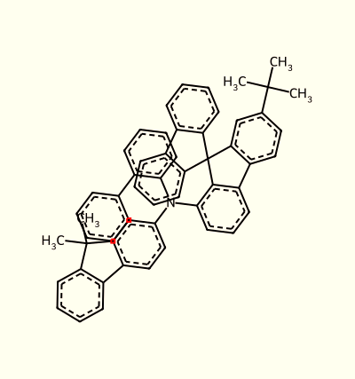 CC(C)(C)c1ccc2c(c1)C1(c3ccccc3-c3ccccc31)c1c-2cccc1N(c1ccc2c(c1)C(C)(C)c1ccccc1-2)c1ccccc1-c1ccccc1